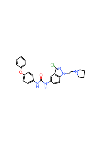 O=C(Nc1ccc(Oc2ccccc2)cc1)Nc1ccc2c(c1)c(Cl)nn2CCN1CCCC1